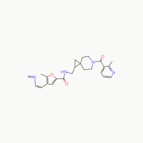 C=N/C=C\c1cc(C(=O)NCC2CC23CCN(C(=O)c2cccnc2C)CC3)oc1C